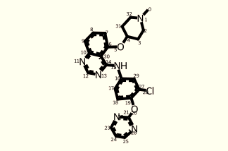 CN1CCC(Oc2cccc3ncnc(Nc4ccc(Oc5ncccn5)c(Cl)c4)c23)CC1